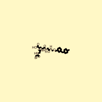 Cc1ccc(Cc2cccc(COCNC(=O)CNC(=O)[C@H](CCC(=O)O)NC(=O)CNC(=O)CBr)c2)cc1